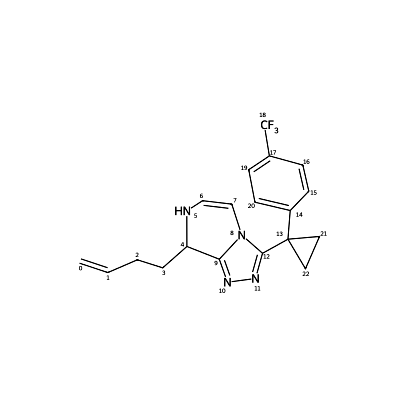 C=CCCC1NC=Cn2c1nnc2C1(c2ccc(C(F)(F)F)cc2)CC1